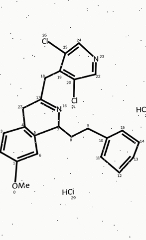 COc1ccc2c(c1)C(CCc1ccccc1)N=C(Cc1c(Cl)cncc1Cl)C2.Cl.Cl